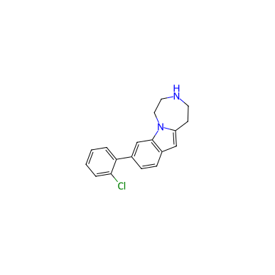 Clc1ccccc1-c1ccc2cc3n(c2c1)CCNCC3